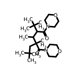 CC(C(C(=O)N1CCOCC1)C(C)(C)C)C(C)(CC(C)(C)C)C(=O)N1CCOCC1